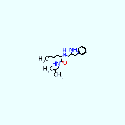 CCCCC(NCC(N)Cc1ccccc1)C(=O)NCC(C)C